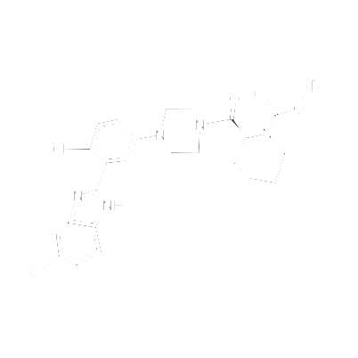 CC(C)(C)OC(=O)N1CCCC[C@H]1C(=O)N1CCN(c2ccc(Cl)c(-c3nc4cc(Cl)ccc4[nH]3)c2)CC1